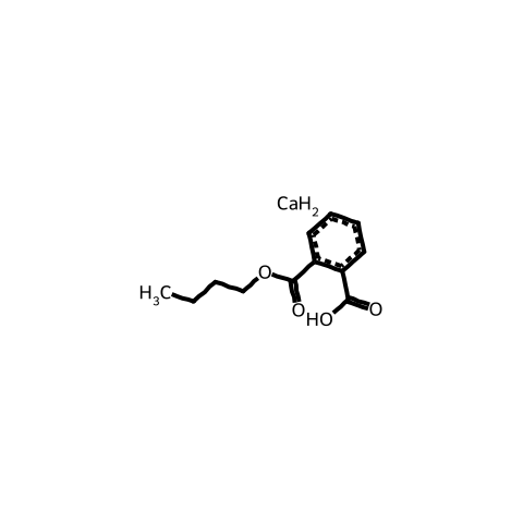 CCCCOC(=O)c1ccccc1C(=O)O.[CaH2]